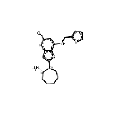 N[C@H]1CCCCC[C@@H]1c1cc2nc(Cl)cc(NCc3cccs3)c2s1